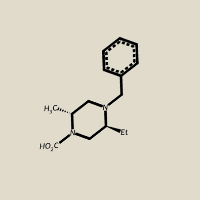 CC[C@H]1CN(C(=O)O)[C@H](C)CN1Cc1ccccc1